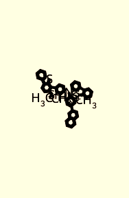 C[Si]1(C)c2cc(N(c3ccc(-c4ccc5ccccc5c4)cc3)c3cccc4c3[Si](C)(C)c3ccccc3-4)ccc2-c2c1ccc1c2sc2ccccc21